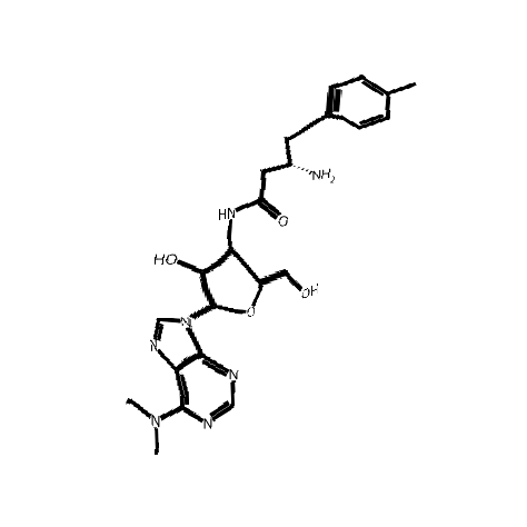 Cc1ccc(C[C@H](N)CC(=O)NC2C(CO)OC(n3cnc4c(N(C)C)ncnc43)C2O)cc1